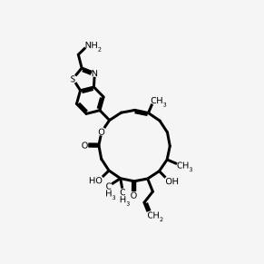 C=CCC1C(=O)C(C)(C)C(O)CC(=O)OC(c2ccc3sc(CN)nc3c2)CC=C(C)CCCC(C)C1O